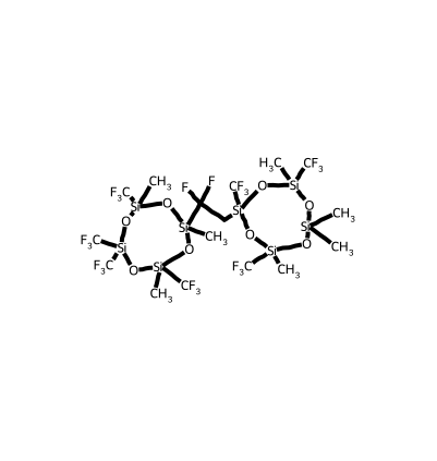 C[Si]1(C)O[Si](C)(C(F)(F)F)O[Si](CC(F)(F)[Si]2(C)O[Si](C)(C(F)(F)F)O[Si](C(F)(F)F)(C(F)(F)F)O[Si](C)(C(F)(F)F)O2)(C(F)(F)F)O[Si](C)(C(F)(F)F)O1